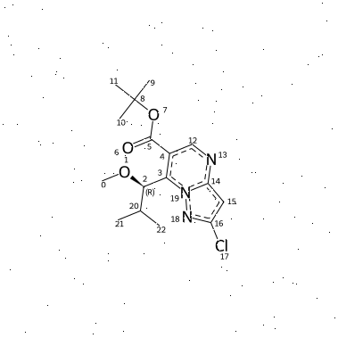 CO[C@@H](c1c(C(=O)OC(C)(C)C)cnc2cc(Cl)nn12)C(C)C